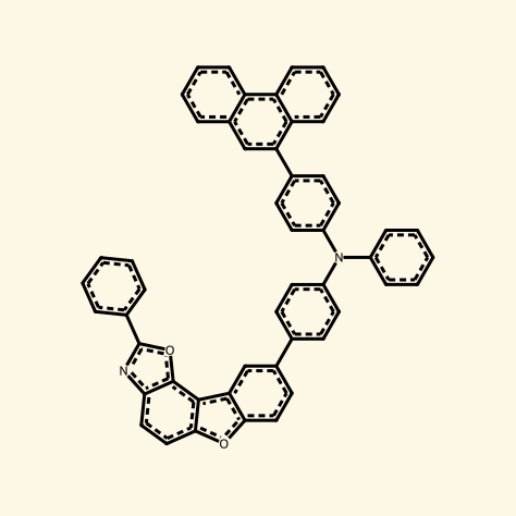 c1ccc(-c2nc3ccc4oc5ccc(-c6ccc(N(c7ccccc7)c7ccc(-c8cc9ccccc9c9ccccc89)cc7)cc6)cc5c4c3o2)cc1